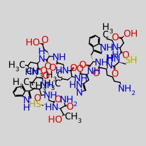 CCCNC(CC(=O)O)C(=O)N[C@@H](CS)C(=O)NC(CCCCN)C(=O)N[C@@H](Cc1c[nH]c2ccccc12)C(=O)NC(Cc1cnc[nH]1)C(=O)N[C@@H](CC(C)C)C(=O)NCC(=O)N[C@@H](CCC(=O)O)C(=O)NC(CC(C)C)C(=O)N[C@H](C(=O)NC(Cc1c[nH]c2ccccc12)C(=O)N[C@@H](CS)C(=O)N[C@H](C(N)=O)[C@@H](C)O)C(C)C